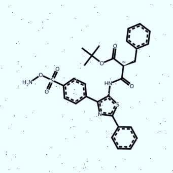 CC(C)(C)OC(=O)[C@@H](Cc1ccccc1)C(=O)Nc1sc(-c2ccccc2)nc1-c1ccc(S(=O)(=O)ON)cc1